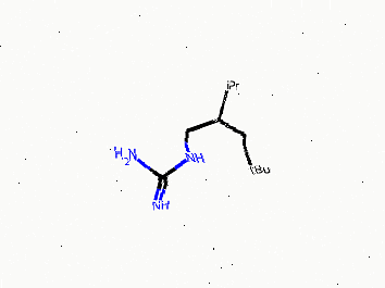 CC(C)C(CNC(=N)N)CC(C)(C)C